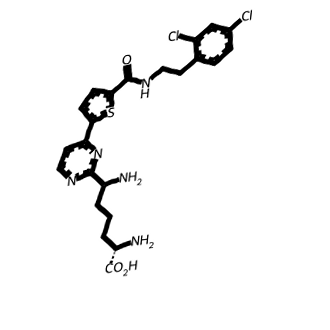 NC(CCC[C@H](N)C(=O)O)c1nccc(-c2ccc(C(=O)NCCc3ccc(Cl)cc3Cl)s2)n1